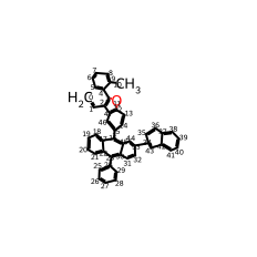 C=Cc1c(-c2ccccc2C)oc2ccc(-c3c4ccccc4c(-c4ccccc4)c4ccc(-c5ccc6ccccc6c5)cc34)cc12